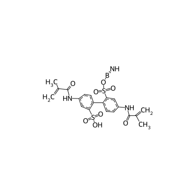 C=C(C)C(=O)Nc1ccc(-c2ccc(NC(=O)C(=C)C)cc2S(=O)(=O)OB=N)c(S(=O)(=O)O)c1